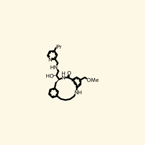 COCc1cc2cc(c1)C(=O)N[C@H]([C@H](O)CNCc1cc(C(C)C)ccn1)Cc1cccc(c1)CCCCN2